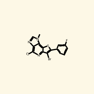 Cn1cnc2c(Cl)nc3c(Br)c(-c4cccc(F)c4)sc3c21